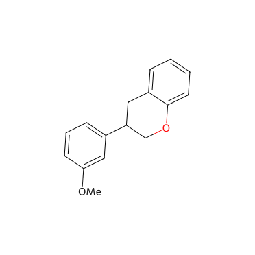 COc1cccc(C2COc3ccccc3C2)c1